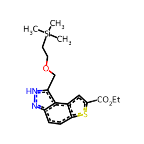 CCOC(=O)c1cc2c(ccc3n[nH]c(COCC[Si](C)(C)C)c32)s1